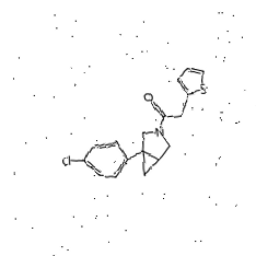 O=C(Cc1cccs1)N1CC2CC2(c2ccc(Cl)cc2)C1